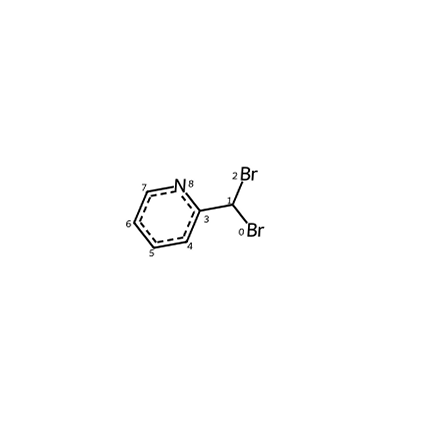 BrC(Br)c1ccccn1